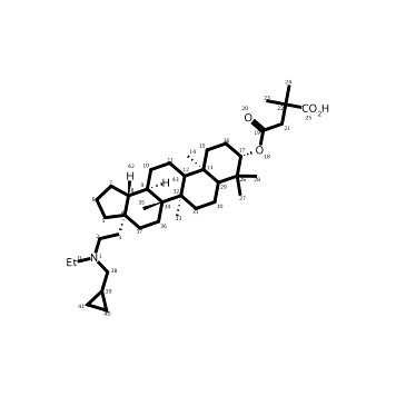 CCN(CC[C@]12CCC[C@@H]1[C@H]1CCC3[C@@]4(C)CC[C@H](OC(=O)CC(C)(C)C(=O)O)C(C)(C)C4CC[C@@]3(C)[C@]1(C)CC2)CC1CC1